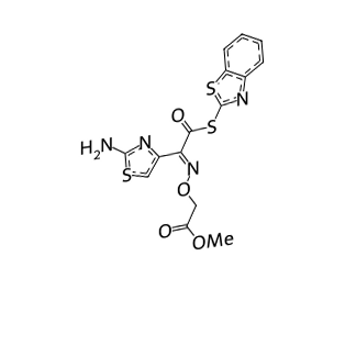 COC(=O)CON=C(C(=O)Sc1nc2ccccc2s1)c1csc(N)n1